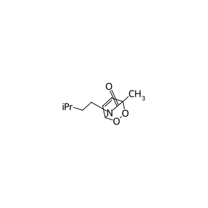 CC(C)CCN1C(=O)C2(C)C=CC1OO2